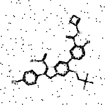 C=C(NC)C1=C(c2ccc(P)cc2)Cc2cc(OCC(C)(F)F)c(-c3ccc(CC)c(C(=C)NC4=CCC4)c3)cc21